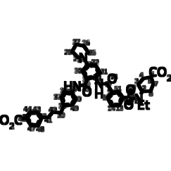 CCN(C1CCC(C(=O)O)CC1)S(=O)(=O)c1cccc(C(=O)Nc2ccc(N3CCCCC3)cc2C(=O)Nc2ccc(CCCc3ccc(C(=O)O)cc3)cc2)c1